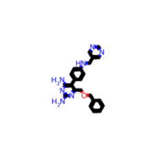 Nc1nc(N)c(-c2ccc(NCc3cncnc3)cc2)c(COCc2ccccc2)n1